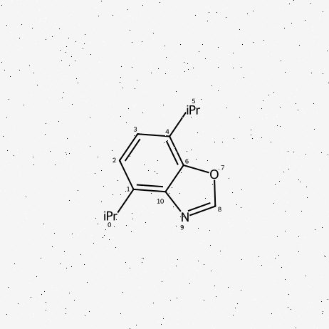 CC(C)c1ccc(C(C)C)c2ocnc12